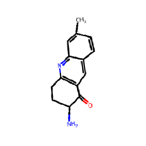 Cc1ccc2cc3c(nc2c1)CCC(N)C3=O